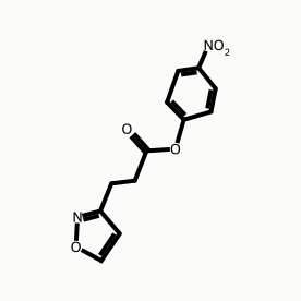 O=C(CCc1ccon1)Oc1ccc([N+](=O)[O-])cc1